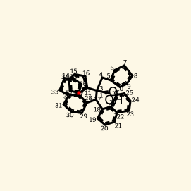 O=C(O)C(Cc1ccccc1)(c1ccccc1)C(c1cccc2ccccc12)c1cccc2ccccc12